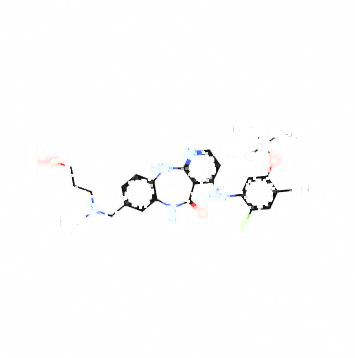 Cc1cc(F)c(Nc2ccnc3c2C(=O)Nc2cc(CN(C)CCCO)ccc2N3)cc1O[Si](C)(C)C(C)(C)C